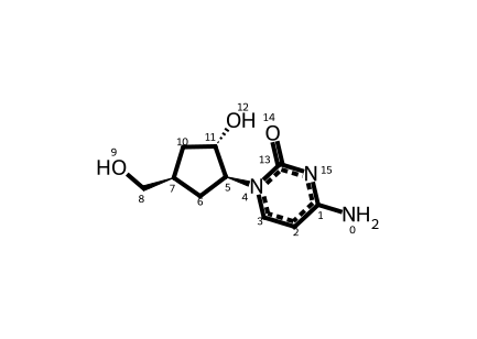 Nc1ccn([C@H]2C[C@@H](CO)C[C@@H]2O)c(=O)n1